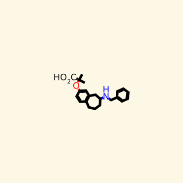 CC(C)(Oc1ccc2c(c1)CC(NCc1ccccc1)CCC2)C(=O)O